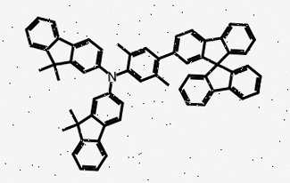 Cc1cc(N(c2ccc3c(c2)C(C)(C)c2ccccc2-3)c2ccc3c(c2)C(C)(C)c2ccccc2-3)c(C)cc1-c1ccc2c(c1)C1(c3ccccc3-c3ccccc31)c1ccccc1-2